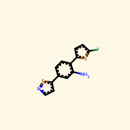 Nc1cc(-c2ccns2)ccc1-c1ccc(F)s1